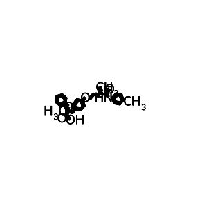 Cc1ccc(NC(=O)N(C)CCCOc2ccc(C[C@](C)(Oc3ccccc3)C(=O)O)cc2)cc1